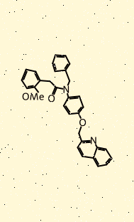 COc1ccccc1CC(=O)N(Cc1ccccc1)c1ccc(OCc2ccc3ccccc3n2)cc1